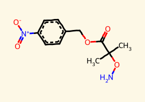 CC(C)(ON)C(=O)OCc1ccc([N+](=O)[O-])cc1